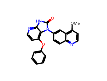 COc1ccnc2ccc(-n3c(=O)[nH]c4nccc(Oc5ccccc5)c43)cc12